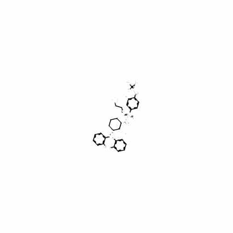 CCCN=S(=O)(N[C@@H]1CCC[C@H](N2c3ccccc3Oc3ccccc32)[C@H]1O)c1ccc(OC(F)(F)F)cc1